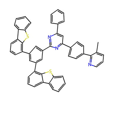 Cc1cccnc1-c1ccc(-c2cc(-c3ccccc3)nc(-c3cc(-c4cccc5c4sc4ccccc45)cc(-c4cccc5c4sc4ccccc45)c3)n2)cc1